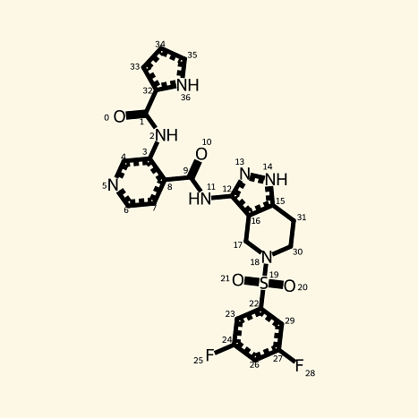 O=C(Nc1cnccc1C(=O)Nc1n[nH]c2c1CN(S(=O)(=O)c1cc(F)cc(F)c1)CC2)c1ccc[nH]1